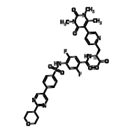 Cc1c(-c2ccc(C[C@H](NC(=O)c3cc(F)c(NS(=O)(=O)c4ccc(-c5cnc(C6CCOCC6)nc5)cc4)cc3F)C(=O)O)nc2)c(=O)n(C)c(=O)n1C